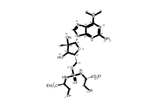 CCOC(=O)[C@H](CC(C)C)NP(=O)(N[C@@H](CC(C)C)C(=O)OCC)OC[C@H]1O[C@@H](n2cnc3c(N(C)C)nc(N)nc32)[C@@](C)(O)C1O